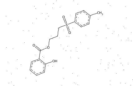 Cc1ccc(S(=O)(=O)CCCOC(=O)c2ccccc2O)cc1